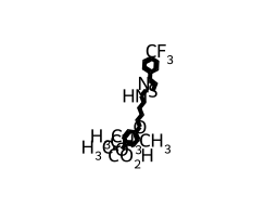 Cc1cc(OC(C)(C)C(=O)O)c(C)cc1OCCCCNc1nc(-c2ccc(C(F)(F)F)cc2)cs1